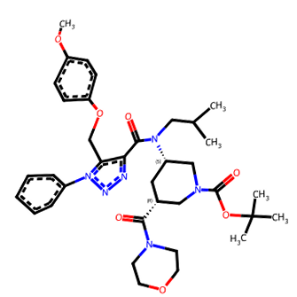 COc1ccc(OCc2c(C(=O)N(CC(C)C)[C@H]3C[C@@H](C(=O)N4CCOCC4)CN(C(=O)OC(C)(C)C)C3)nnn2-c2ccccc2)cc1